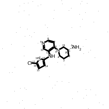 N[C@@H]1CCCN(c2ccncc2Nc2ccc(Cl)s2)C1